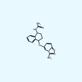 Bc1nnc2ccc(OC3CCC(NC(N)=O)c4ccccc43)cn12